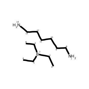 CCB(CC)CC.NCCCCCCN